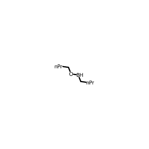 CCCCBOCCCC